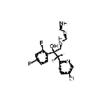 N=C/N=C\NCC(O)(c1ccc(F)cc1F)C(F)(F)c1ccc(Cl)cn1